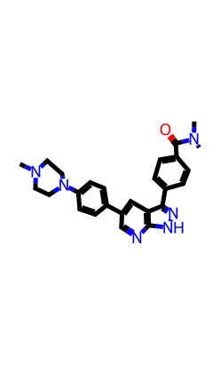 CN1CCN(c2ccc(-c3cnc4[nH]nc(-c5ccc(C(=O)N(C)C)cc5)c4c3)cc2)CC1